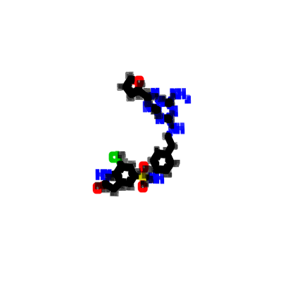 Nc1nc(NCCc2ccc(NS(=O)(=O)c3cc(Cl)c4c(c3)CC(=O)N4)cc2)nc2nc(-c3ccco3)nn12